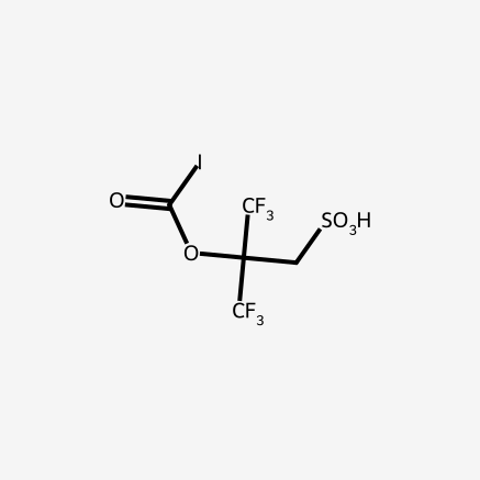 O=C(I)OC(CS(=O)(=O)O)(C(F)(F)F)C(F)(F)F